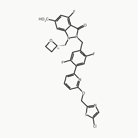 O=C(O)c1cc(F)c2c(=O)n(Cc3cc(F)c(-c4cccc(OCc5ncc(Cl)s5)n4)cc3F)n(C[C@@H]3CCO3)c2c1